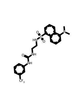 CN(C)c1cccc2c(S(=O)(=O)NCCNC(=O)Nc3cccc(C(F)(F)F)c3)cccc12